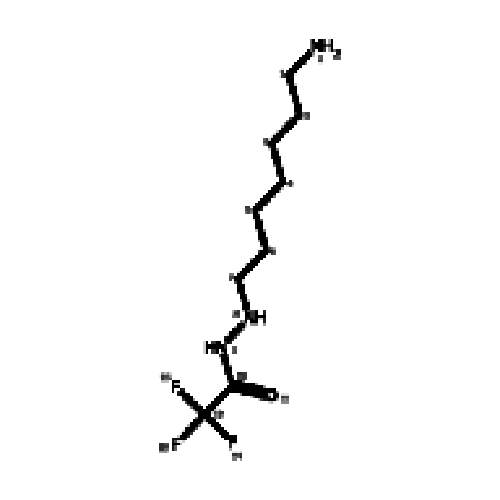 NCCCCCCCNNC(=O)C(F)(F)F